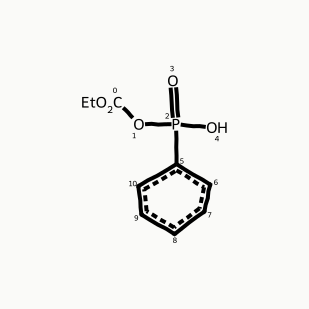 CCOC(=O)OP(=O)(O)c1ccccc1